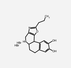 Br.Br.CCCc1nc2c(o1)C1c3cc(O)c(O)cc3CCC1NC2